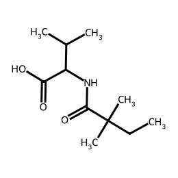 CCC(C)(C)C(=O)NC(C(=O)O)C(C)C